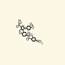 NC(=O)c1nn(-c2ccc3c(c2)OCO3)c2c1COc1ccc(NC(=O)c3ccc([N+](=O)[O-])cc3Cl)cc1-2